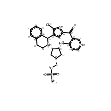 NS(=O)(=O)OC[C@@H]1CC[C@H](Nc2ncncc2C(=O)c2cc(C3NCCc4ccccc43)c(Cl)s2)C1